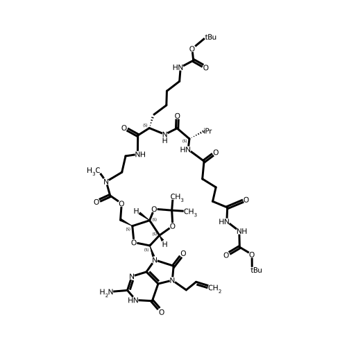 C=CCn1c(=O)n([C@H]2O[C@@H](COC(=O)N(C)CCNC(=O)[C@H](CCCCNC(=O)OC(C)(C)C)NC(=O)[C@@H](NC(=O)CCCC(=O)NNC(=O)OC(C)(C)C)C(C)C)[C@@H]3OC(C)(C)O[C@@H]32)c2nc(N)[nH]c(=O)c21